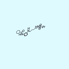 CC(C)S(=O)(=O)NCCCCCNc1cccc(NC(=O)C2CCCCC2)c1